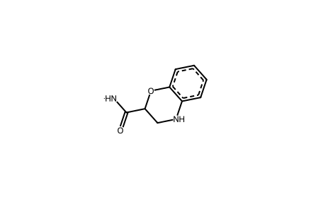 [NH]C(=O)C1CNc2ccccc2O1